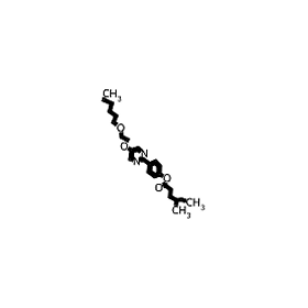 CCCCCCOCCOc1cnc(-c2ccc(OC(=O)CCC(C)CC)cc2)nc1